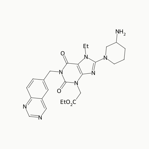 CCOC(=O)Cn1c(=O)n(Cc2ccc3ncncc3c2)c(=O)c2c1nc(N1CCCC(N)C1)n2CC